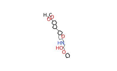 COC(=O)c1ccc2cc(-c3ccc4c(c3)CC[C@H](CNC[C@H](O)COc3ccccc3)O4)ccc2c1